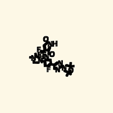 CC1CN(c2cc(F)c(-c3cnc(N4CC(C)(C)OC(C)(C)C4)nc3)cc2NC(=O)c2c[nH]c(=O)cc2C(F)(F)F)CCN1C